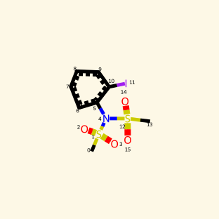 CS(=O)(=O)N(c1ccccc1I)S(C)(=O)=O